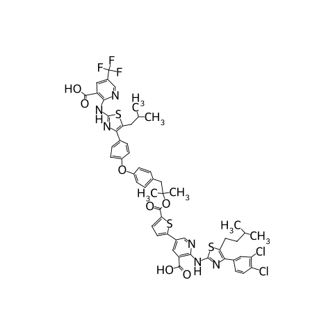 CC(C)CCc1sc(Nc2ncc(-c3ccc(C(=O)OC(C)(C)Cc4ccc(Oc5ccc(-c6nc(Nc7ncc(C(F)(F)F)cc7C(=O)O)sc6CC(C)C)cc5)cc4)s3)cc2C(=O)O)nc1-c1ccc(Cl)c(Cl)c1